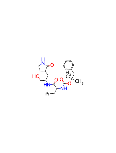 CC(C)CC(NC(=O)OC(C)(C)Cc1ccccc1)C(=O)NC(CO)CC1CCNC1=O